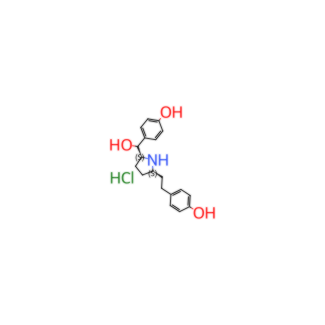 Cl.Oc1ccc(CC[C@H]2CC[C@@H](C(O)c3ccc(O)cc3)N2)cc1